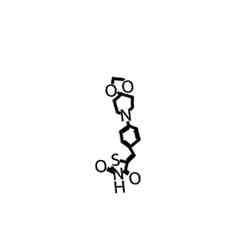 O=C1NC(=O)C(=Cc2ccc(N3CCC4(CC3)OCCO4)cc2)S1